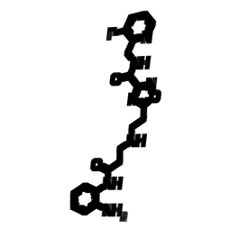 Nc1ccccc1NC(=O)CCNCCc1nc(C(=O)NCc2ncccc2F)no1